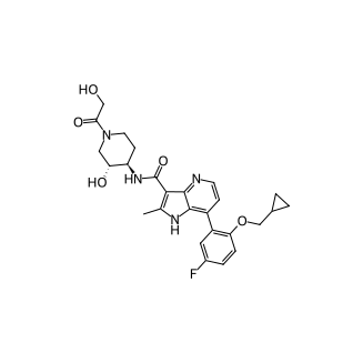 Cc1[nH]c2c(-c3cc(F)ccc3OCC3CC3)ccnc2c1C(=O)N[C@@H]1CCN(C(=O)CO)C[C@H]1O